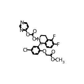 COC(=O)COc1ccc(Cl)cc1[C@@H]1c2ccc(F)c(F)c2CCN1OC(=O)Oc1ccncn1